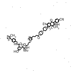 CCc1cc2c(cc1N1CCC(N3CCN(C(=O)CCCc4cn(CCCC(=O)N[C@H](C(=O)N5C[C@H](O)C[C@H]5C(=O)NCc5ccc(-c6scnc6C)cc5)C(C)(C)C)nn4)CC3)CC1)C(C)(C)c1[nH]c3cc(C#N)ccc3c1C2=O